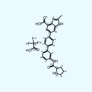 Cc1nc2c(C(=O)O)cc(-c3ccc(-c4cccc(NC(=O)C5CCCN5)c4)cc3)cc2[nH]1.O=C(O)C(F)(F)F